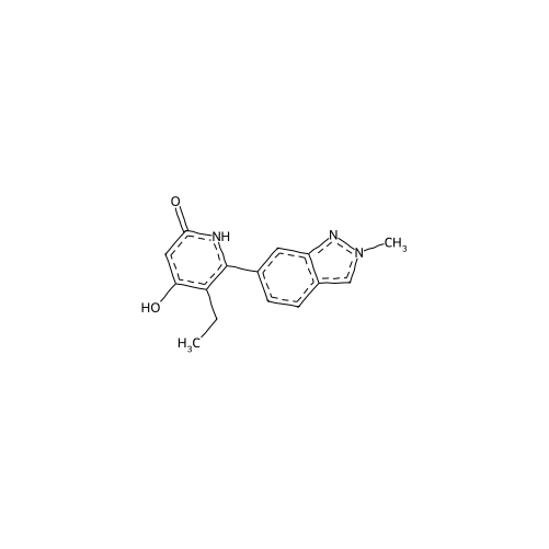 CCc1c(O)cc(=O)[nH]c1-c1ccc2cn(C)nc2c1